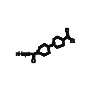 CCCCCCCC(=O)N1CCC(N2CCC(C(=O)CC)CC2)CC1